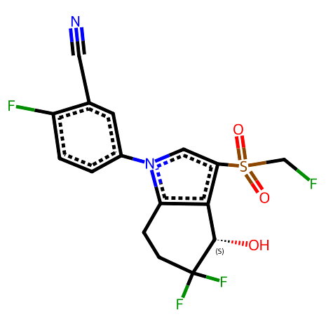 N#Cc1cc(-n2cc(S(=O)(=O)CF)c3c2CCC(F)(F)[C@H]3O)ccc1F